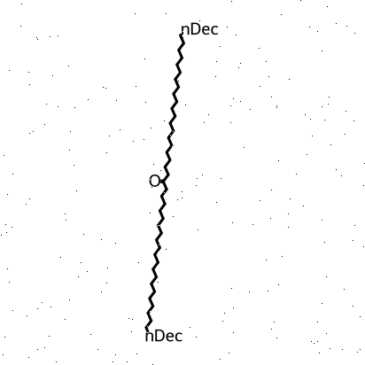 CCCCCCCCCCCCCCCCCCCCCCCCCCCCCCC(=O)CCCCCCCCCCCCCCCCCCCCCCCCCCCCCC